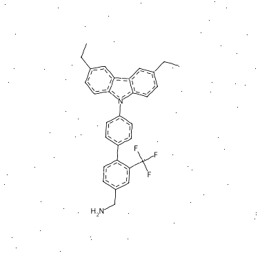 CCc1ccc2c(c1)c1cc(CC)ccc1n2-c1ccc(-c2ccc(CN)cc2C(F)(F)F)cc1